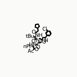 CCC[C@H](NC(=O)[C@@H]1C[C@]2(CC(c3cccc(Cl)c3)=NO2)CN1C(=O)[C@@H](NC(=O)CC1CCCC1)C(C)(C)C)C(=O)C(C)=O